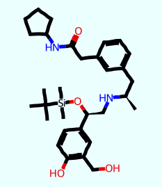 C[C@H](Cc1cccc(CC(=O)NC2CCCC2)c1)NC[C@H](O[Si](C)(C)C(C)(C)C)c1ccc(O)c(CO)c1